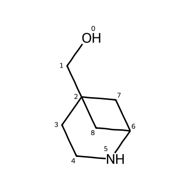 OCC12CCNC(C1)C2